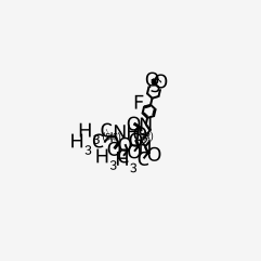 CC[C@H](C)[C@H](N)C(=O)OC(C)OC(=O)N(C[C@H]1CN(c2ccc(C3CCS(=O)(=O)CC3)c(F)c2)C(=O)O1)C(C)=O